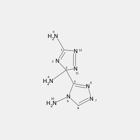 NC1=NC(N)(c2nncn2N)N=N1